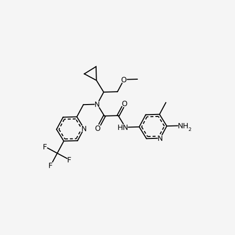 COCC(C1CC1)N(Cc1ccc(C(F)(F)F)cn1)C(=O)C(=O)Nc1cnc(N)c(C)c1